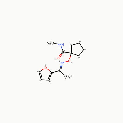 CONC(=O)C1(ON=C(C(=O)O)c2ccco2)CCCC1